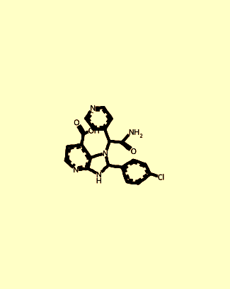 NC(=O)C(c1ccncc1)N1c2c(C(=O)O)ccnc2NC1c1ccc(Cl)cc1